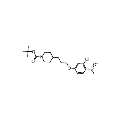 C[S+]([O-])c1ccc(OCCCC2CCN(C(=O)OC(C)(C)C)CC2)cc1Cl